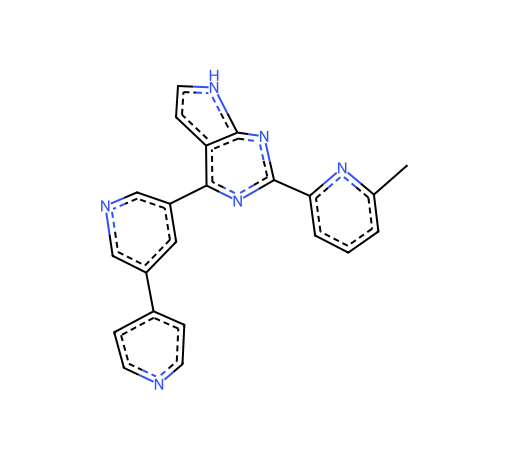 Cc1cccc(-c2nc(-c3cncc(-c4ccncc4)c3)c3cc[nH]c3n2)n1